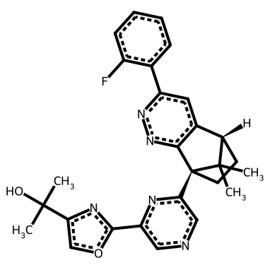 CC(C)(O)c1coc(-c2cncc([C@@]34CC[C@@H](c5cc(-c6ccccc6F)nnc53)C4(C)C)n2)n1